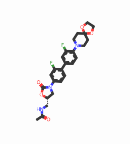 CC(=O)NC[C@H]1CN(c2ccc(-c3ccc(N4CCC5(CC4)OCCO5)c(F)c3)c(F)c2)C(=O)O1